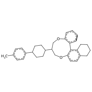 Cc1ccc(C2CCC(C3COc4ccc5c(c4-c4c(ccc6c4CCCC6)OC3)CCCC5)CC2)cc1